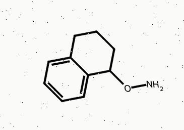 NOC1CCCc2ccccc21